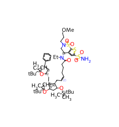 CCN(C(=O)CCC/C=C\C[C@H]1C(O[Si](C)(C)C(C)(C)C)CC(O[Si](C)(C)C(C)(C)C)[C@@H]1CC[C@@H](CCc1ccccc1)O[Si](C)(C)C(C)(C)C)[C@@H]1CN(CCCOC)S(=O)(=O)c2sc(S(N)(=O)=O)cc21